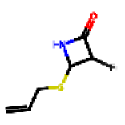 C=CCSC1NC(=O)C1CC